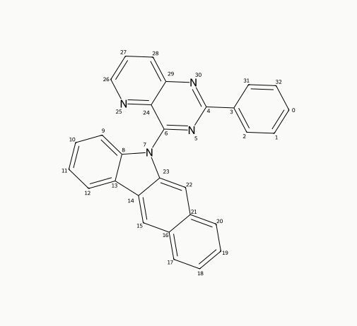 c1ccc(-c2nc(-n3c4ccccc4c4cc5ccccc5cc43)c3ncccc3n2)cc1